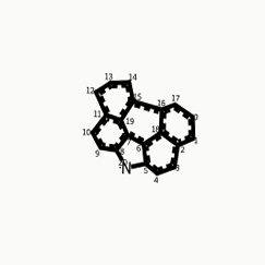 c1cc2ccc3c4c5c(ccc6cccc(c(c1)c24)c65)[N]3